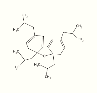 CC(C)CC1=CCC(CC(C)C)(OC2(CC(C)C)C=CC(CC(C)C)=CC2)C=C1